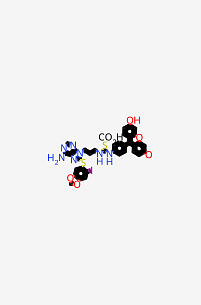 Nc1ncnc2c1nc(Sc1cc3c(cc1I)OCO3)n2CCCNC(=S)Nc1ccc(-c2c3ccc(=O)cc-3oc3cc(O)ccc23)c(C(=O)O)c1